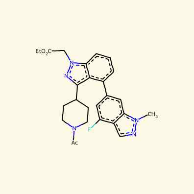 CCOC(=O)Cn1nc(C2CCN(C(C)=O)CC2)c2c(-c3cc(F)c4cnn(C)c4c3)cccc21